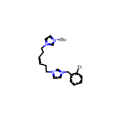 CCc1ccccc1Cn1cc[n+](CC/C=C\CCn2cc[n+](C(C)(C)C)c2)c1